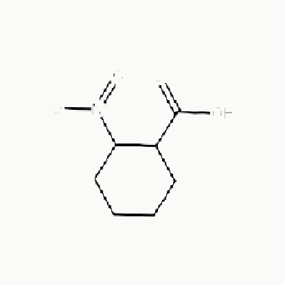 O=C(O)C1CCCCC1[N+](=O)[O-]